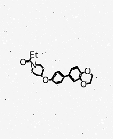 CCC(=O)N1CCC(Oc2ccc(-c3ccc4c(c3)OCCO4)cc2)CC1